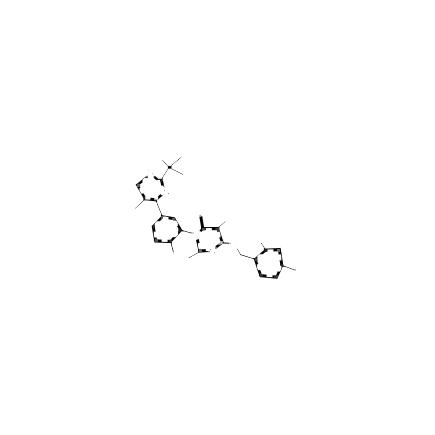 Cc1cnc(C(C)(C)C)nc1-c1ccc(Cl)c(-n2c(C)nc(OCc3ccc(F)cc3F)c(Cl)c2=O)c1